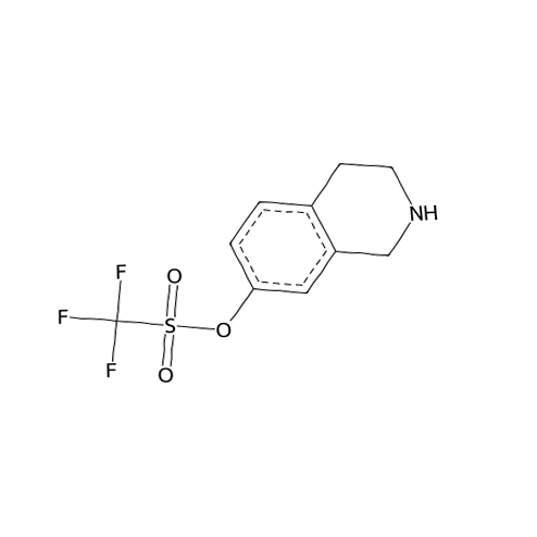 O=S(=O)(Oc1ccc2c(c1)CNCC2)C(F)(F)F